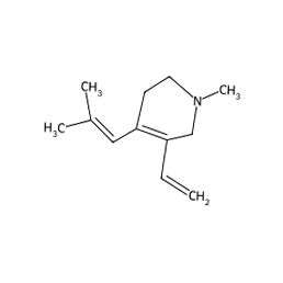 C=CC1=C(C=C(C)C)CCN(C)C1